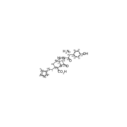 Cn1nnnc1SCC1=C(C(=O)O)N2C(=O)[C@@H](NC(=O)[C@H](N)c3ccc(O)cc3)[C@H]2SC1